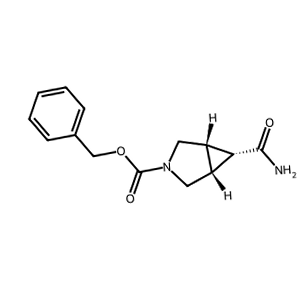 NC(=O)[C@@H]1[C@@H]2CN(C(=O)OCc3ccccc3)C[C@@H]21